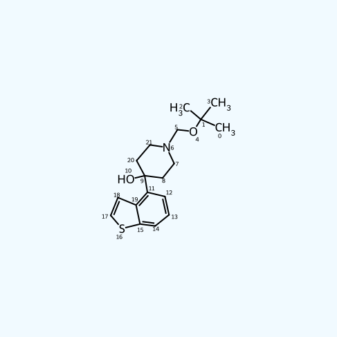 CC(C)(C)OCN1CCC(O)(c2cccc3sccc23)CC1